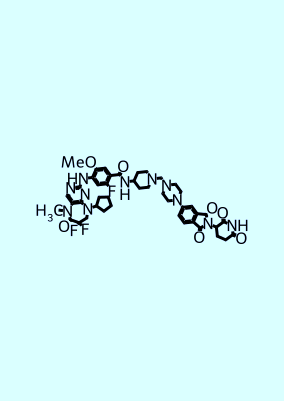 COc1cc(C(=O)NC2CCN(CN3CCN(c4ccc5c(c4)C(=O)N(C4CCC(=O)NC4=O)C5=O)CC3)CC2)c(F)cc1Nc1ncc2c(n1)N(C1CCCC1)CC(F)(F)C(=O)N2C